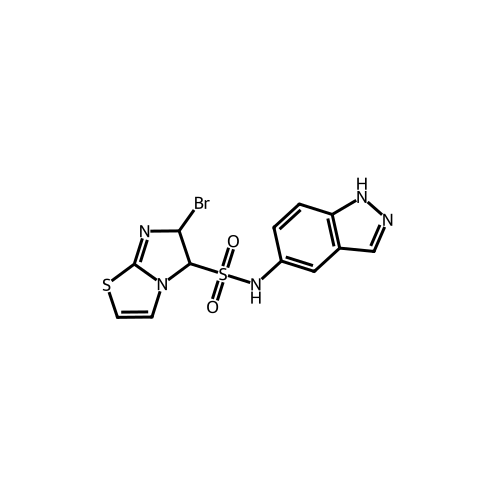 O=S(=O)(Nc1ccc2[nH]ncc2c1)C1C(Br)N=C2SC=CN21